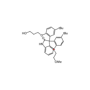 COCCOc1ccc(C(C)(C)C)cc1C1(c2cc(C(C)(C)C)ccc2OCCCO)C(=O)Nc2ccccc21